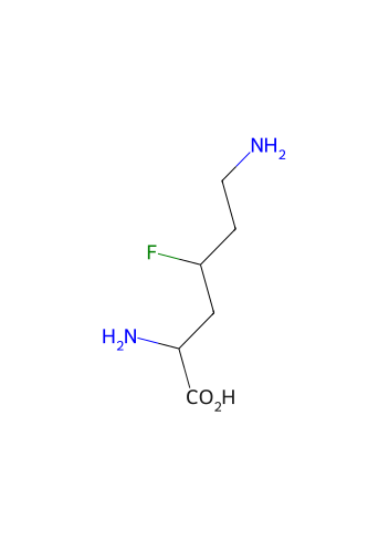 NCCC(F)CC(N)C(=O)O